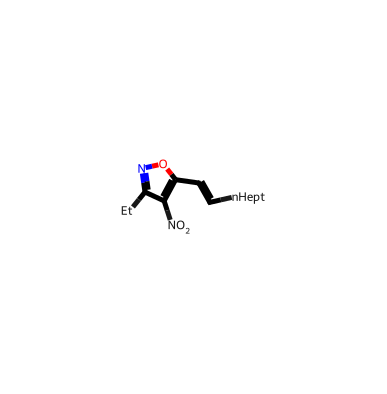 CCCCCCCC=Cc1onc(CC)c1[N+](=O)[O-]